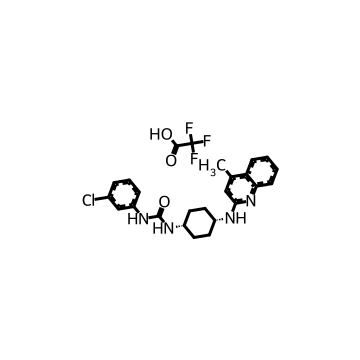 Cc1cc(N[C@H]2CC[C@@H](NC(=O)Nc3cccc(Cl)c3)CC2)nc2ccccc12.O=C(O)C(F)(F)F